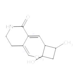 C/C=C1/CCNC(=O)/C1=C/C1C(C)CC1O